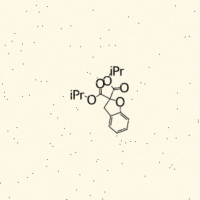 CC(C)OC(=O)C1(C(=O)OC(C)C)Cc2ccccc2O1